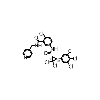 O=C(NCc1ccncc1)c1cc(NC(=O)[C@@H]2[C@@H](c3cc(Cl)c(Cl)c(Cl)c3)C2(Cl)Cl)ccc1Cl